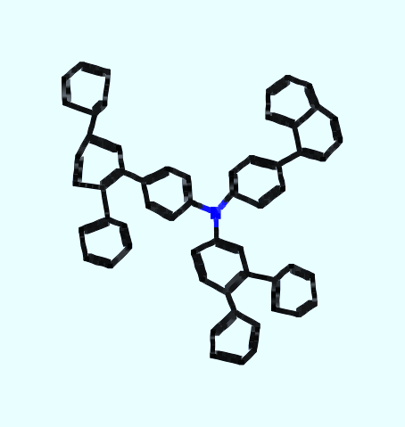 c1ccc(-c2ccc(-c3ccccc3)c(-c3ccc(N(c4ccc(-c5cccc6ccccc56)cc4)c4ccc(-c5ccccc5)c(-c5ccccc5)c4)cc3)c2)cc1